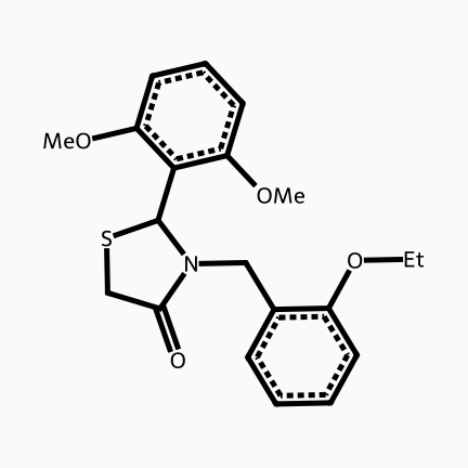 CCOc1ccccc1CN1C(=O)CSC1c1c(OC)cccc1OC